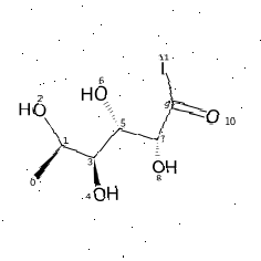 C[C@@H](O)[C@H](O)[C@H](O)[C@@H](O)C(=O)I